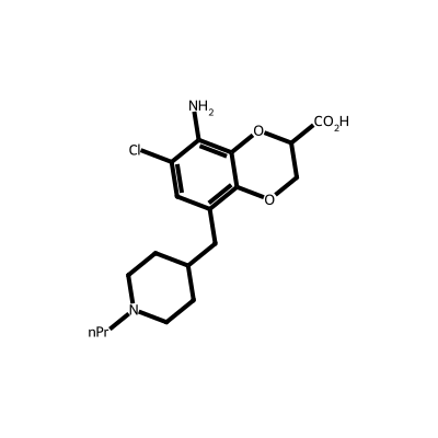 CCCN1CCC(Cc2cc(Cl)c(N)c3c2OCC(C(=O)O)O3)CC1